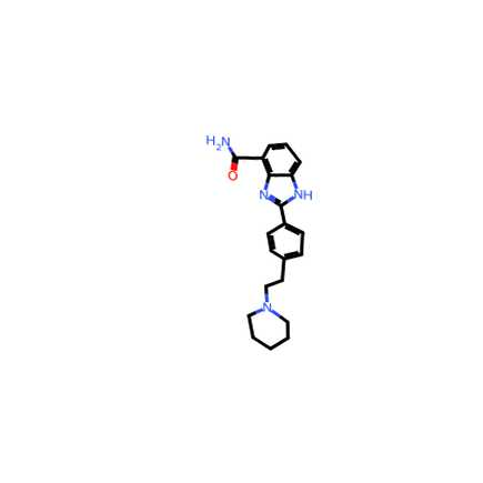 NC(=O)c1cccc2[nH]c(-c3ccc(CCN4CCCCC4)cc3)nc12